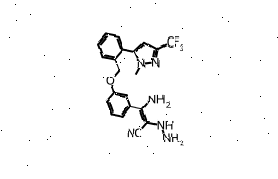 Cn1nc(C(F)(F)F)cc1-c1ccccc1COc1cccc(/C(N)=C(\C#N)NN)c1